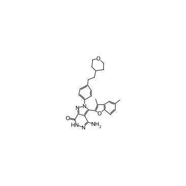 Cc1ccc2oc(-c3c4c(N)n[nH]c(=O)c4nn3-c3ccc(CCC4CCOCC4)cc3)c(C)c2c1